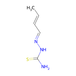 C/C=C/C=N/NC(N)=S